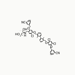 Cc1c(COc2cc(OCc3cncc(C#N)c3)c(Cl)cc2Cl)cccc1-c1cccc(COc2cc(OCc3cncc(C#N)c3)c(CN[C@@H](C(=O)O)[C@H](C)O)cc2Cl)c1C